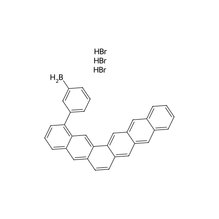 Bc1cccc(-c2cccc3cc4ccc5cc6cc7ccccc7cc6cc5c4cc23)c1.Br.Br.Br